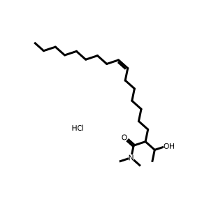 CCCCCCCC/C=C\CCCCCCC(C(=O)N(C)C)C(C)O.Cl